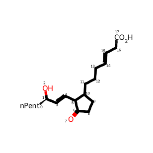 CCCCC[C@@H](O)C=CC1C(=O)CCC1CCCC=CCC(=O)O